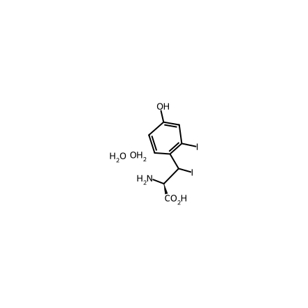 N[C@H](C(=O)O)C(I)c1ccc(O)cc1I.O.O